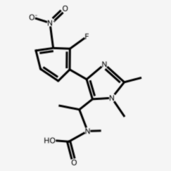 Cc1nc(-c2cccc([N+](=O)[O-])c2F)c(C(C)N(C)C(=O)O)n1C